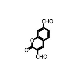 O=Cc1ccc2cc(C=O)c(=O)oc2c1